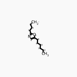 [CH2]CCCc1ncc(CCCCCC)o1